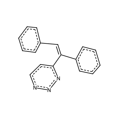 C(=C(c1ccccc1)c1ccnnn1)c1ccccc1